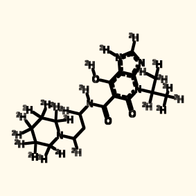 [2H]Oc1c(C(=O)N([2H])C([2H])CC([2H])N2C([2H])([2H])C([2H])([2H])C([2H])([2H])C([2H])([2H])C2([2H])[2H])c(=O)n(C([2H])(C([2H])([2H])[2H])C([2H])([2H])[2H])c2nc([2H])n([2H])c12